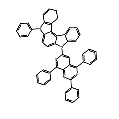 C1=C=CC(c2nc(-c3ccccc3)nc3c(-c4ccccc4)nc(-n4c5ccccc5c5c6c7c(n(-c8ccccc8)c6ccc54)C=CCC7)nc23)=CC=1